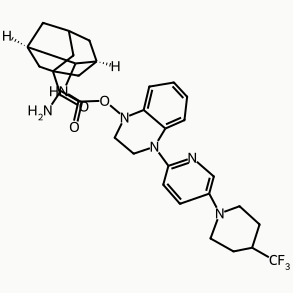 NC(=O)C12CC3C[C@H](C1)C(NC(=O)ON1CCN(c4ccc(N5CCC(C(F)(F)F)CC5)cn4)c4ccccc41)[C@@H](C3)C2